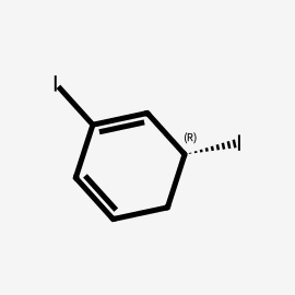 IC1=C[C@H](I)CC=C1